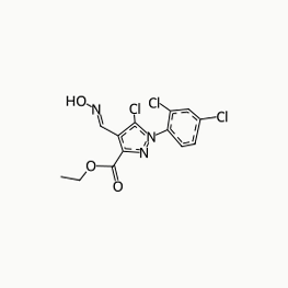 CCOC(=O)c1nn(-c2ccc(Cl)cc2Cl)c(Cl)c1C=NO